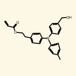 C=CC(=O)OCCc1ccc(N(c2ccc(C)cc2)c2ccc(CO)cc2)cc1